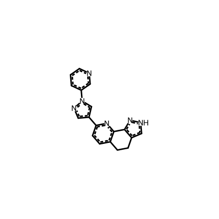 c1cncc(-n2cc(-c3ccc4c(n3)-c3n[nH]cc3CC4)cn2)c1